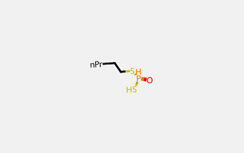 CCCCCS[PH](=O)S